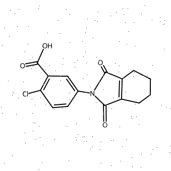 O=C(O)c1cc(N2C(=O)C3=C(CCCC3)C2=O)ccc1Cl